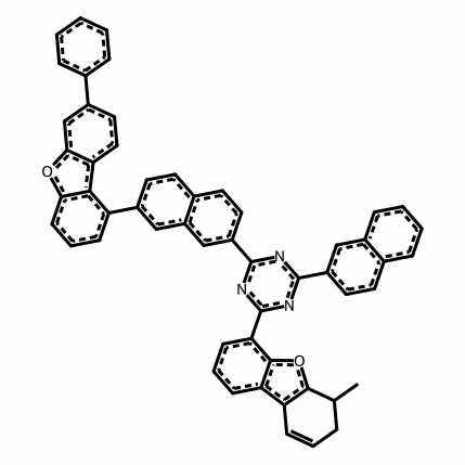 CC1CC=Cc2c1oc1c(-c3nc(-c4ccc5ccccc5c4)nc(-c4ccc5ccc(-c6cccc7oc8cc(-c9ccccc9)ccc8c67)cc5c4)n3)cccc21